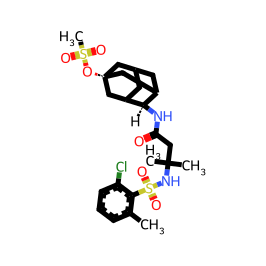 Cc1cccc(Cl)c1S(=O)(=O)NC(C)(C)CC(=O)N[C@H]1C2CC3CC1C[C@](OS(C)(=O)=O)(C3)C2